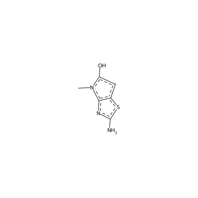 Cn1c(O)cc2sc(N)nc21